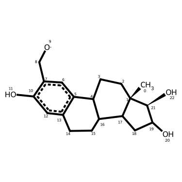 C[C@]12CCC3c4cc(C[O])c(O)cc4CCC3C1CC(O)[C@@H]2O